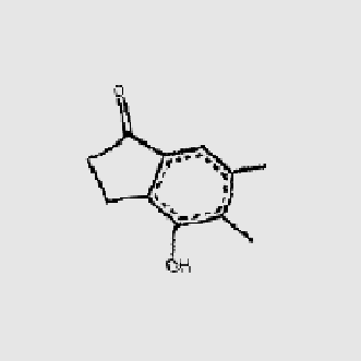 Cc1cc2c(c(O)c1C)CCC2=O